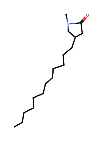 CCCCCCCCCCCCC1CC(=O)N(C)C1